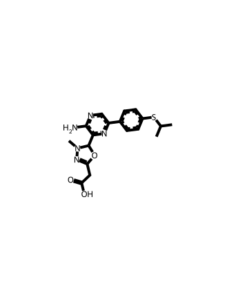 CC(C)Sc1ccc(-c2cnc(N)c(C3OC(CC(=O)O)=NN3C)n2)cc1